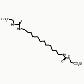 CCOC(=O)CNC(=O)NCCCCCCCCCCCCNC(=O)NCC(=O)O